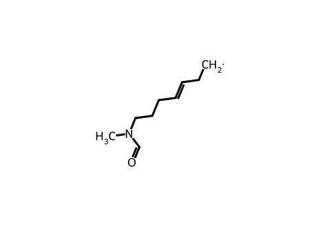 [CH2]CC=CCCCN(C)C=O